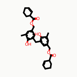 Cc1cc(COC(=O)C2C=CCCC2)cc(Cc2cc(COC(=O)C3C=CCCC3)cc(C)c2O)c1O